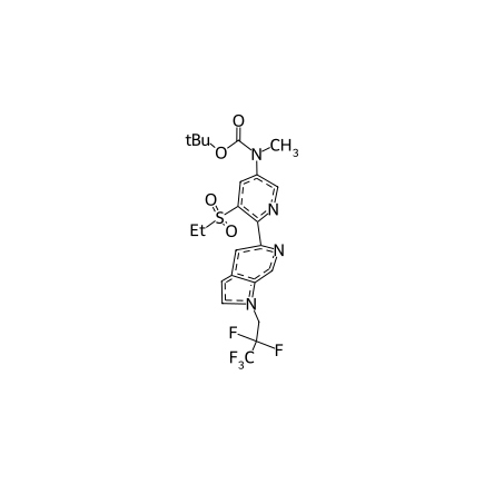 CCS(=O)(=O)c1cc(N(C)C(=O)OC(C)(C)C)cnc1-c1cc2ccn(CC(F)(F)C(F)(F)F)c2cn1